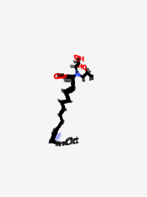 CCCCCCCC/C=C\CCCCCCCC(=O)N(CCO)CC(C)O